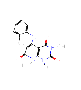 CCn1c(=O)n(C)c(=O)c2c(Nc3ccccc3C(=O)O)cc(=O)n(C)c21